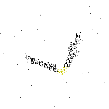 [Cu].[Cu].[Cu].[Cu].[Ga+3].[Ga+3].[Ga+3].[Ga+3].[In].[In].[In].[In].[S-2].[S-2].[S-2].[Se-2].[Se-2].[Se-2]